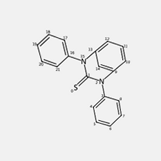 S=C1N(c2ccccc2)c2cccc(c2)N1c1ccccc1